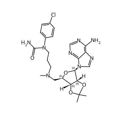 CN(CCCN(C(N)=O)c1ccc(Cl)cc1)C[C@H]1O[C@@H](n2cnc3c(N)ncnc32)[C@@H]2OC(C)(C)O[C@@H]21